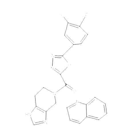 O=C(c1nnc(-c2ccc(F)c(F)c2)o1)N1CCc2[nH]cnc2[C@H]1c1ccc2ccccc2n1